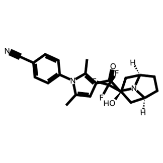 Cc1cc(C(=O)CN2[C@@H]3CC[C@H]2C[C@](O)(C(F)(F)F)C3)c(C)n1-c1ccc(C#N)cc1